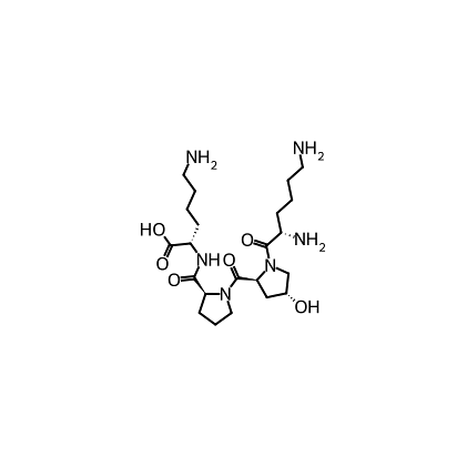 NCCCC[C@H](NC(=O)[C@@H]1CCCN1C(=O)[C@@H]1C[C@@H](O)CN1C(=O)[C@@H](N)CCCCN)C(=O)O